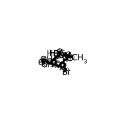 CCOP(=O)(CCc1cc(CBr)cc(Cc2cc(CCP(=O)(O)O)cc(CCP(=O)(O)O)c2)c1)OCC